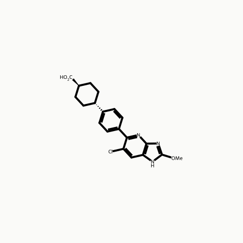 COc1nc2nc(-c3ccc([C@H]4CC[C@H](C(=O)O)CC4)cc3)c(Cl)cc2[nH]1